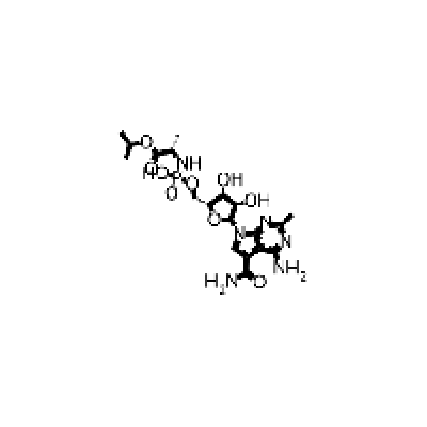 Cc1nc(N)c2c(C(N)=O)cn(C3O[C@H](COP(=O)(O)N[C@@H](C)C(=O)OC(C)C)[C@@H](O)[C@H]3O)c2n1